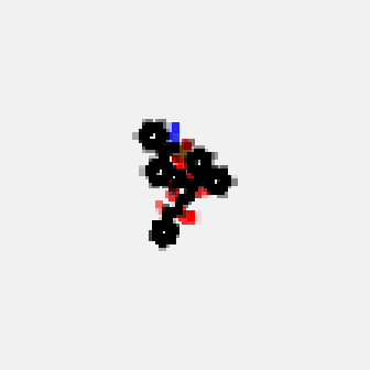 O=C(c1ccccc1)C(O)[C@@H]1C[C@@](O)(C(=O)c2ccccc2)[C@](O)(C(=O)c2ccccc2)[C@@H](OCCc2c(S(=O)(=O)c3ccccc3)[nH]c3ccccc23)O1